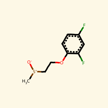 C[S+]([O-])CCOc1c[c]c(F)cc1F